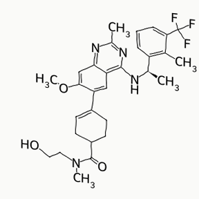 COc1cc2nc(C)nc(N[C@H](C)c3cccc(C(F)(F)F)c3C)c2cc1C1=CCC(C(=O)N(C)CCO)CC1